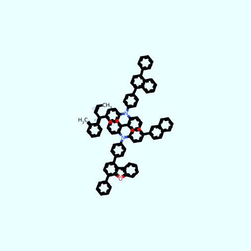 C=c1cccc/c1=C(/C=C\C)c1ccc(N(c2ccc(-c3ccc(-c4ccccc4)c4ccccc34)cc2)c2ccccc2-c2ccccc2N(c2ccc(-c3ccc4ccccc4c3)cc2)c2ccc(-c3ccc(-c4ccccc4)c4oc5ccccc5c34)cc2)cc1